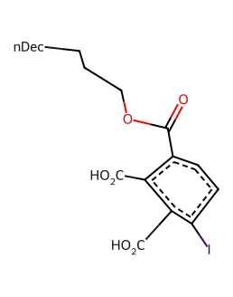 CCCCCCCCCCCCCOC(=O)c1ccc(I)c(C(=O)O)c1C(=O)O